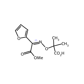 COC(=O)/C(=N\OC(C)(C)C(=O)O)c1ccco1